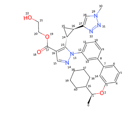 C[C@H](Oc1cccc(-c2cccc(-n3ncc(C(=O)OCCO)c3[C@@H]3C[C@H]3c3cn(C)nn3)c2)c1)C1CCCCC1